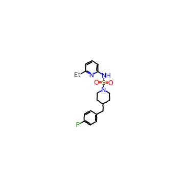 CCc1cccc(NS(=O)(=O)N2CCC(Cc3ccc(F)cc3)CC2)n1